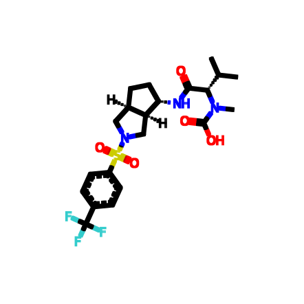 CC(C)[C@@H](C(=O)N[C@H]1CC[C@@H]2CN(S(=O)(=O)c3ccc(C(F)(F)F)cc3)C[C@@H]21)N(C)C(=O)O